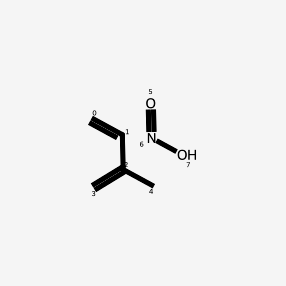 C=CC(=C)C.O=NO